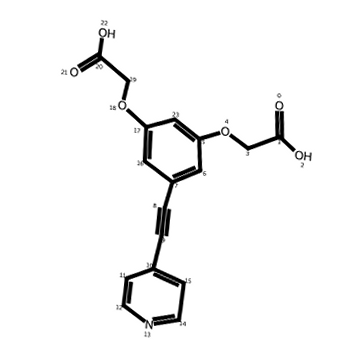 O=C(O)COc1cc(C#Cc2ccncc2)cc(OCC(=O)O)c1